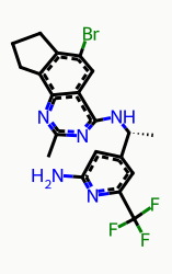 Cc1nc(N[C@H](C)c2cc(N)nc(C(F)(F)F)c2)c2cc(Br)c3c(c2n1)CCC3